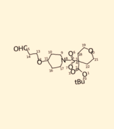 CC(C)(C)OC(=O)C1(S(=O)(=O)N2CCC(OCCC=O)CC2)CCOCC1